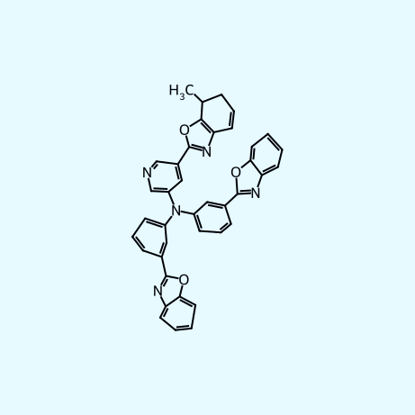 CC1CC=Cc2nc(-c3cncc(N(c4cccc(-c5nc6ccccc6o5)c4)c4cccc(-c5nc6ccccc6o5)c4)c3)oc21